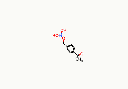 CC(=O)c1ccc(CON(O)O)cc1